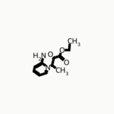 CCOC(=O)C(=O)C(C)[n+]1ccccc1N